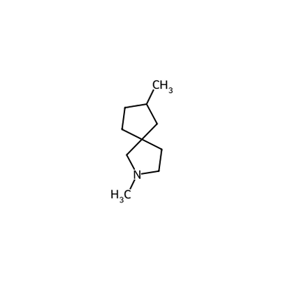 CC1CCC2(CCN(C)C2)C1